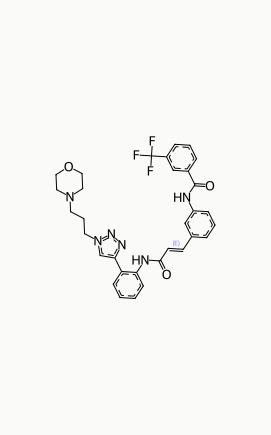 O=C(/C=C/c1cccc(NC(=O)c2cccc(C(F)(F)F)c2)c1)Nc1ccccc1-c1cn(CCCN2CCOCC2)nn1